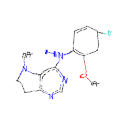 CCCN1CCc2ncnc(NC3=C(OC(C)C)CC(F)C=C3)c21